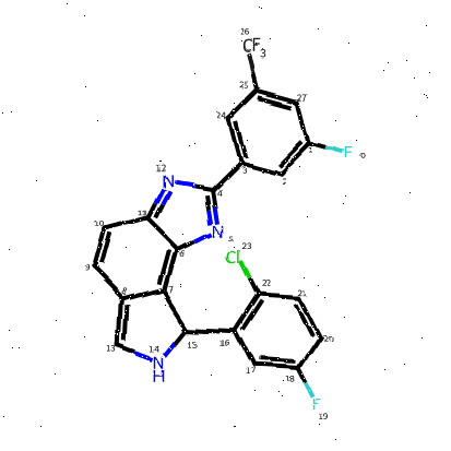 Fc1cc(C2=Nc3c4c(ccc3=N2)=CNC4c2cc(F)ccc2Cl)cc(C(F)(F)F)c1